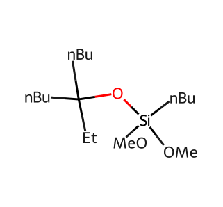 CCCCC(CC)(CCCC)O[Si](CCCC)(OC)OC